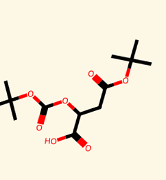 CC(C)(C)OC(=O)CC(OC(=O)OC(C)(C)C)C(=O)O